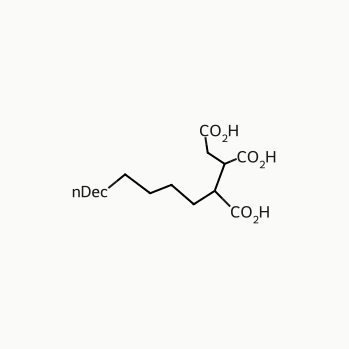 CCCCCCCCCCCCCCC(C(=O)O)C(CC(=O)O)C(=O)O